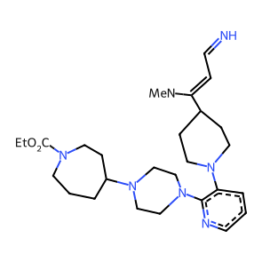 CCOC(=O)N1CCCC(N2CCN(c3ncccc3N3CCC(/C(=C/C=N)NC)CC3)CC2)CC1